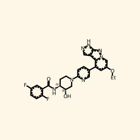 CCOc1cc(-c2ccc(N3CC[C@H](NC(=O)c4cc(F)ccc4F)[C@H](O)C3)nc2)c2c3cn[nH]c3nn2c1